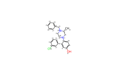 CC1CN(c2ccc(O)cc2)[C@H](c2ccc(Cl)cc2)CN1Cc1ccccc1